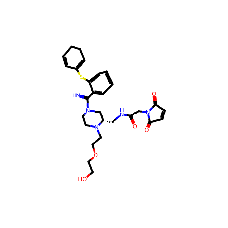 N=C(c1ccccc1SC1=CCCC=C1)N1CCN(CCOCCO)[C@@H](CNC(=O)CN2C(=O)C=CC2=O)C1